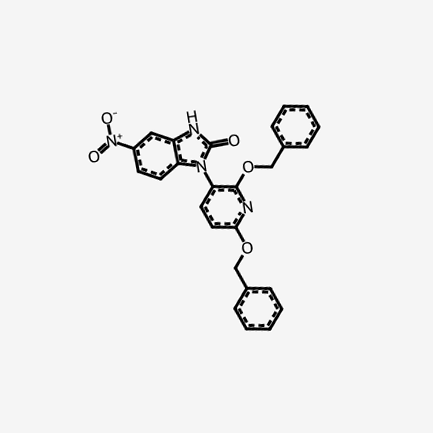 O=c1[nH]c2cc([N+](=O)[O-])ccc2n1-c1ccc(OCc2ccccc2)nc1OCc1ccccc1